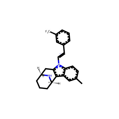 Cc1ccc2c(c1)c1c(n2/C=C/c2cccc(C(F)(F)F)c2)C[C@@H]2CCC[C@H]1N2